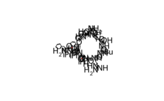 CC[C@H](C)[C@@H]1NC(=O)[C@@H](CCCNC(=N)N)NC(=O)[C@H](CC(C)C)NC(=O)[C@H]([C@H](O)C(C)C)NC(=O)[C@@H](NC(=O)[C@](C)(CC(C)C)NC(=O)[C@H](N)Cc2ccccc2)[C@@H](c2ccccc2)OC(=O)[C@H](CO)NC(=O)[C@H]([C@H](O)C(N)=O)NC(=O)CNC(=O)[C@H]([C@H](C)O)NC1=O